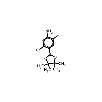 CC1(C)OB(c2cc(F)c(N)cc2Cl)OC1(C)C